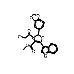 COC(=O)C1=C(c2c[nH]c3ccccc23)OC(c2ccc3c(c2)OCO3)N1C(=O)CCl